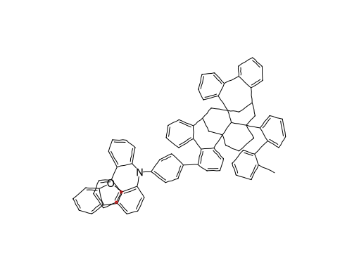 Cc1ccccc1-c1ccccc1C12CCCC34CC(CC5(CC(C1)c1ccccc1-c1ccccc15)C23)c1ccccc1-c1c(-c2ccc(N(c3ccccc3-c3ccccc3)c3cccc5c3oc3ccccc35)cc2)cccc14